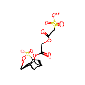 O=C(CS(=O)(=O)O)OCC(=O)O[C@H]1C2CC3C1OS(=O)(=O)C3C2